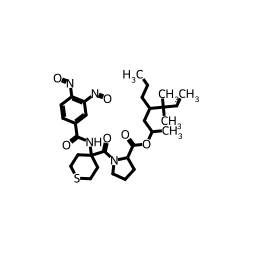 CCCC(CC(C)OC(=O)C1CCCN1C(=O)C1(NC(=O)c2ccc(N=O)c(N=O)c2)CCSCC1)C(C)(C)CC